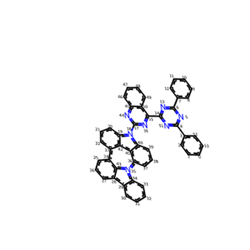 c1ccc(-c2nc(-c3ccccc3)nc(-c3nc(-n4c5cccc6c7cccc8c9ccccc9n(c9cccc4c9c65)c78)nc4ccccc34)n2)cc1